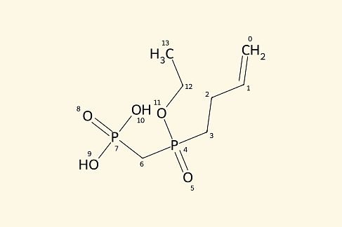 C=CCCP(=O)(CP(=O)(O)O)OCC